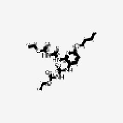 CCCCOc1ccc(NC(=S)NC(=O)OCC)c(NC(=S)NC(=O)OCC)n1